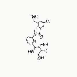 CNCc1cc(OC)cc2c1CN(c1cccc(C(=N)N(C=N)C(CO)C3CC3)n1)C2=O